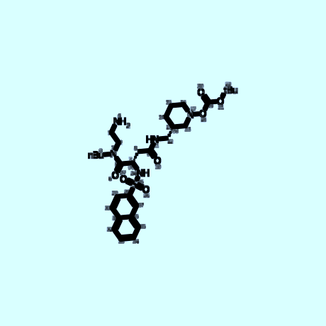 CCCCN(CCN)C(=O)[C@H](CC(=O)NC[C@@H]1CCCN(OC(=O)OC(C)(C)C)C1)NS(=O)(=O)c1ccc2ccccc2c1